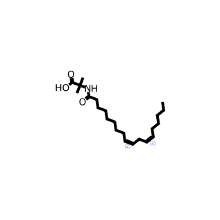 CCCCC/C=C\C/C=C\CCCCCCCC(=O)NC(C)(C)C(=O)O